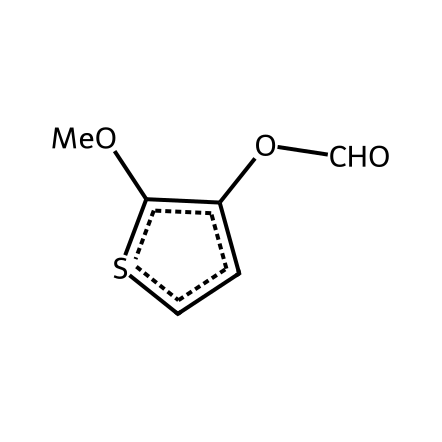 COc1sccc1OC=O